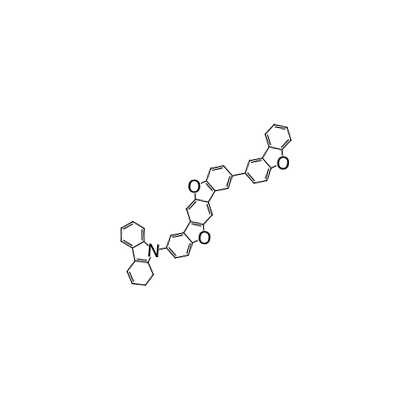 C1=Cc2c(n(-c3ccc4oc5cc6c(cc5c4c3)oc3ccc(-c4ccc5oc7ccccc7c5c4)cc36)c3ccccc23)CC1